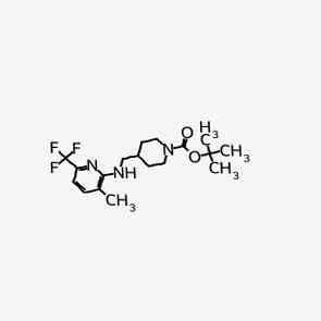 Cc1ccc(C(F)(F)F)nc1NCC1CCN(C(=O)OC(C)(C)C)CC1